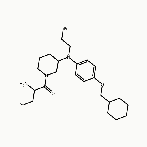 CC(C)CCN(c1ccc(OCC2CCCCC2)cc1)C1CCCN(C(=O)C(N)CC(C)C)C1